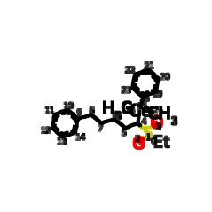 CCS(=O)(=O)[CH](CCCCc1ccccc1)[Ge]([CH3])([CH3])[c]1ccccc1